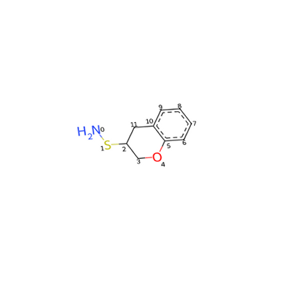 NSC1COc2ccccc2C1